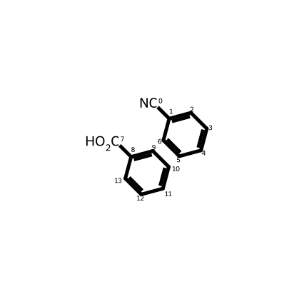 N#Cc1ccccc1.O=C(O)c1ccccc1